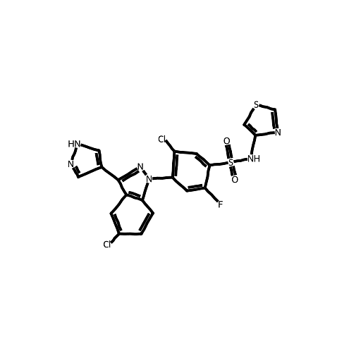 O=S(=O)(Nc1cscn1)c1cc(Cl)c(-n2nc(-c3cn[nH]c3)c3cc(Cl)ccc32)cc1F